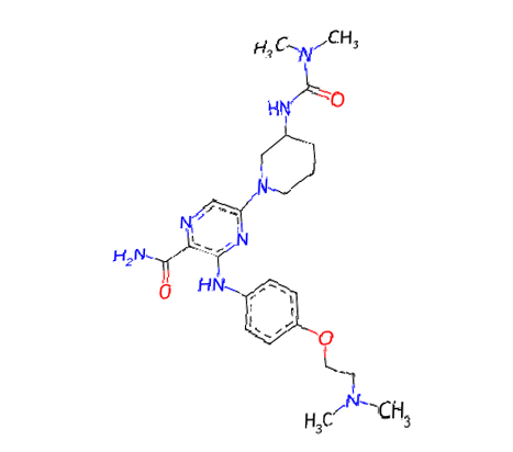 CN(C)CCOc1ccc(Nc2nc(N3CCCC(NC(=O)N(C)C)C3)cnc2C(N)=O)cc1